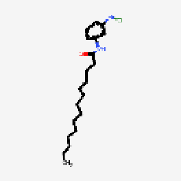 CCCCCCCCCCCCCC(=O)Nc1cccc([N]Cl)c1